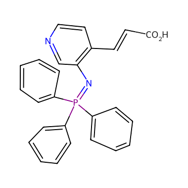 O=C(O)/C=C/c1ccncc1N=P(c1ccccc1)(c1ccccc1)c1ccccc1